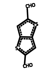 O=Cc1cc2sc(C=O)cc2s1